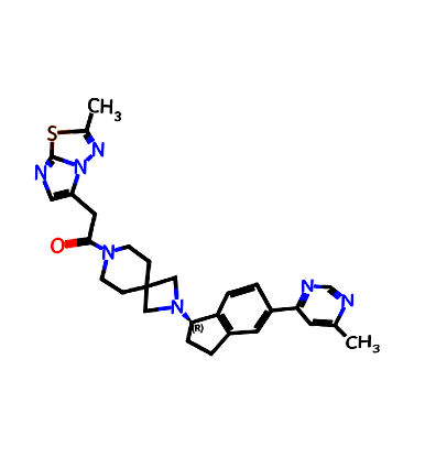 Cc1cc(-c2ccc3c(c2)CC[C@H]3N2CC3(CCN(C(=O)Cc4cnc5sc(C)nn45)CC3)C2)ncn1